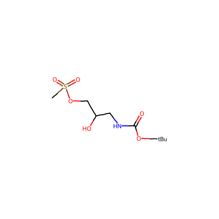 CC(C)(C)OC(=O)NCC(O)COS(C)(=O)=O